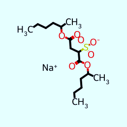 CCCCC(C)OC(=O)CC(C(=O)OC(C)CCCC)S(=O)(=O)[O-].[Na+]